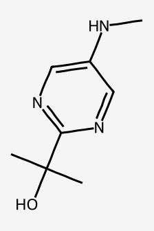 CNc1cnc(C(C)(C)O)nc1